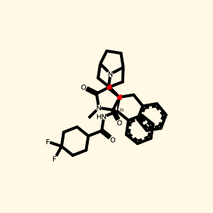 CN1C(=O)N(Cc2ccccc2)C2(CC3CCC(C2)N3CC[C@H](NC(=O)C2CCC(F)(F)CC2)c2ccccc2)C1=O